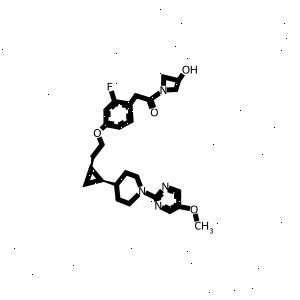 COc1cnc(N2CCC([C@H]3C[C@H]3CCOc3ccc(CC(=O)N4CC(O)C4)c(F)c3)CC2)nc1